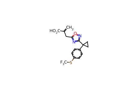 C=C(Cc1nc(C2(c3ccc(SC(F)(F)F)cc3)CC2)no1)C(=O)O